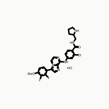 CCc1cc(Nc2nccn3c(-c4ccc(OC)c(F)c4F)cnc23)ccc1C(=O)NCC1CCCN1.Cl